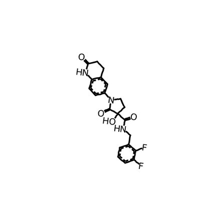 O=C1CCc2cc(N3CCC(O)(C(=O)NCc4cccc(F)c4F)C3=O)ccc2N1